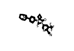 CN1C2C=C(c3ccc(N4C(=S)N(c5cnc(C#N)c(C(F)(F)F)c5)C(=O)C45CCC5)cc3)CC1CC2